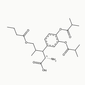 CCCC(=O)OCC(C)C(c1ccc(OC(=O)C(C)C)c(OC(=O)C(C)C)c1)[C@H](N)C(=O)O